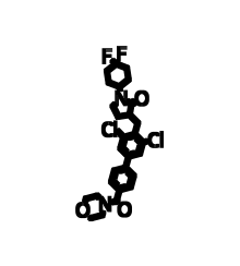 O=C(c1ccc(-c2cc(Cl)c(CC3CCN(C4CCC(F)(F)CC4)C3=O)c(Cl)c2)cc1)N1CCOCC1